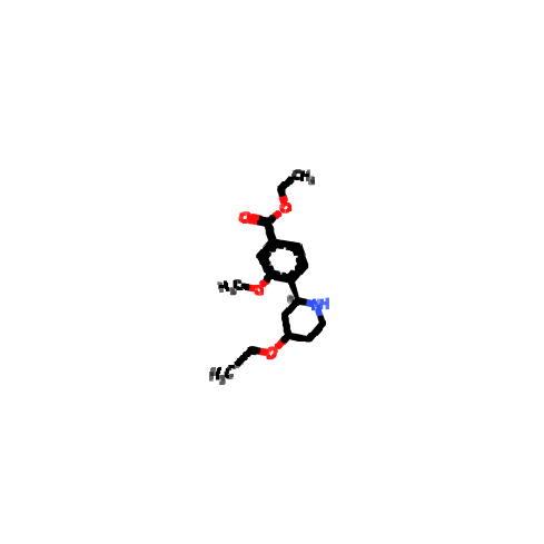 CCOC(=O)c1ccc([C@@H]2CC(OCC)CCN2)c(OC)c1